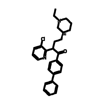 CCN1CCC[C@@H](CCC(C(=O)c2ccc(-c3ccccc3)cc2)c2ncccc2Cl)C1